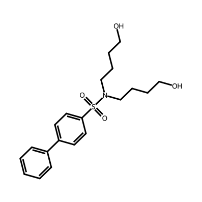 O=S(=O)(c1ccc(-c2ccccc2)cc1)N(CCCCO)CCCCO